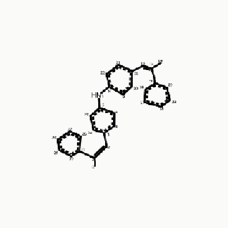 CC(=Cc1ccc(Nc2ccc(C=C(C)c3ccccc3)cc2)cc1)c1ccccc1